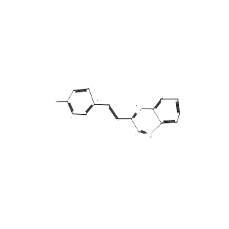 Oc1ccc(C=Cc2cnc3ccccc3n2)cc1